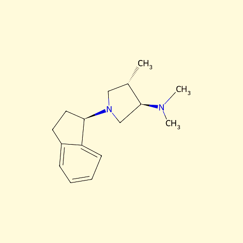 C[C@H]1CN([C@@H]2CCc3ccccc32)C[C@@H]1N(C)C